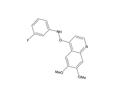 COc1cc2nccc(ONc3cccc(F)c3)c2cc1OC